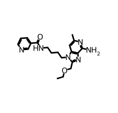 CCOCc1nc2c(N)nc(C)cc2n1CCCCNC(=O)c1cccnc1